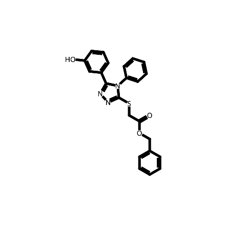 O=C(CSc1nnc(-c2cccc(O)c2)n1-c1ccccc1)OCc1ccccc1